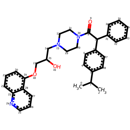 CC(C)c1ccc(C(C(=O)N2CCN(CC(O)COc3cccc4ncccc34)CC2)c2ccccc2)cc1